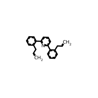 C=CCc1ccccc1-c1cccc(-c2ccccc2CC=C)n1